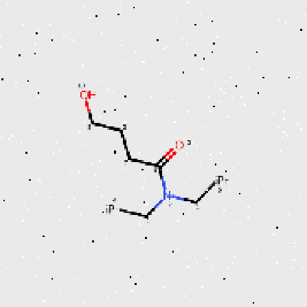 CC(C)CN(CC(C)C)C(=O)CCCO